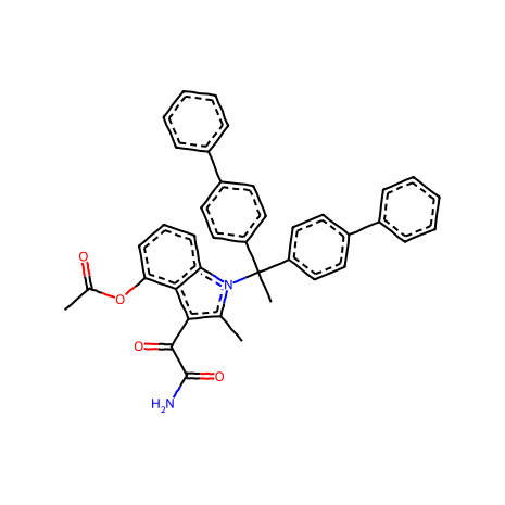 CC(=O)Oc1cccc2c1c(C(=O)C(N)=O)c(C)n2C(C)(c1ccc(-c2ccccc2)cc1)c1ccc(-c2ccccc2)cc1